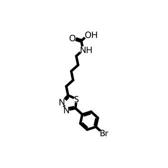 O=C(O)NCCCCCc1nnc(-c2ccc(Br)cc2)s1